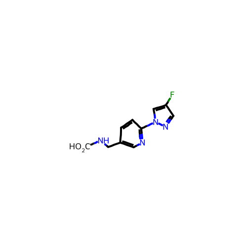 O=C(O)NCc1ccc(-n2cc(F)cn2)nc1